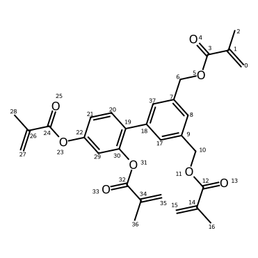 C=C(C)C(=O)OCc1cc(COC(=O)C(=C)C)cc(-c2ccc(OC(=O)C(=C)C)cc2OC(=O)C(=C)C)c1